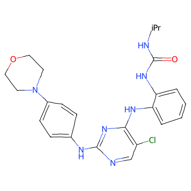 CC(C)NC(=O)Nc1ccccc1Nc1nc(Nc2ccc(N3CCOCC3)cc2)ncc1Cl